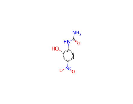 NC(=O)Nc1ccc([N+](=O)[O-])cc1O